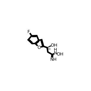 N=C(C[C@H](O)c1cc2cc(F)ccc2o1)NO